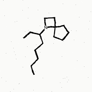 CCCCCC(CC)N1CCC12CCCC2